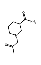 CC(=O)CN1CCC[C@@H](C(N)=O)C1